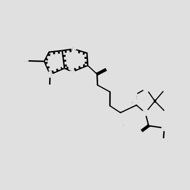 CC(C)[C@H](CCCC(=O)c1cnc2cc(C(C)(C)C)n(C)c2n1)[C@@H]1COC(C)(C)N1C(=O)OC(C)(C)C